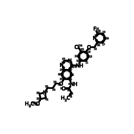 C=CC(=O)Nc1cc2c(Nc3ccc(OCc4cccc(F)n4)c(Cl)c3)ncnc2cc1OCCCN1CC(OC)C1